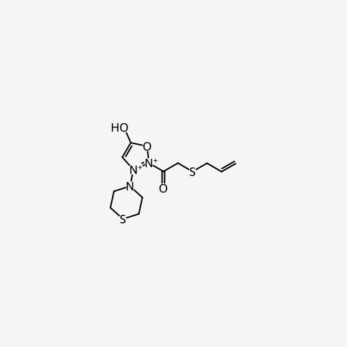 C=CCSCC(=O)[n+]1oc(O)c[n+]1N1CCSCC1